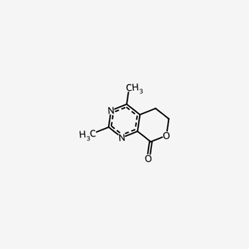 Cc1nc(C)c2c(n1)C(=O)OCC2